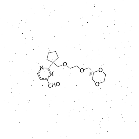 O=Cc1ccnc(C2(COCCOC[C@H]3COCCO3)CCCC2)n1